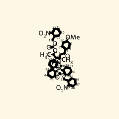 COc1ccc(C(=O)C[C@]2(C)[C@@H]([C@@H](C)OC(=O)OCc3ccccc3[N+](=O)[O-])C(=O)N2CP(C(=O)OCc2ccccc2[N+](=O)[O-])(c2ccccc2)(c2ccccc2)c2ccccc2)cc1